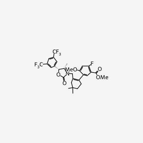 COC(=O)c1cc(C2=C(CN3C(=O)O[C@H](c4cc(C(F)(F)F)cc(C(F)(F)F)c4)[C@@H]3C)CC(C)(C)CC2)c(OC)cc1F